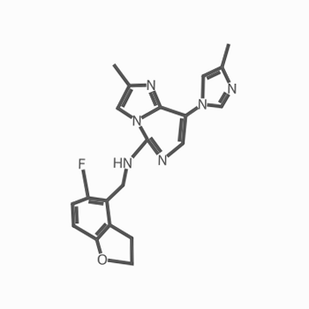 Cc1cn(-c2cnc(NCc3c(F)ccc4c3CCO4)n3cc(C)nc23)cn1